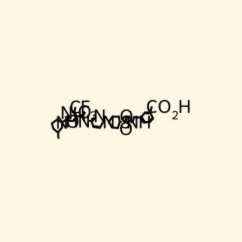 CC1CCCN(c2nc(C(F)(F)F)c(C(=O)Nc3ccc(N4CCC(S(=O)(=O)NCc5cccc(C(=O)O)c5)CC4)nc3)o2)C1